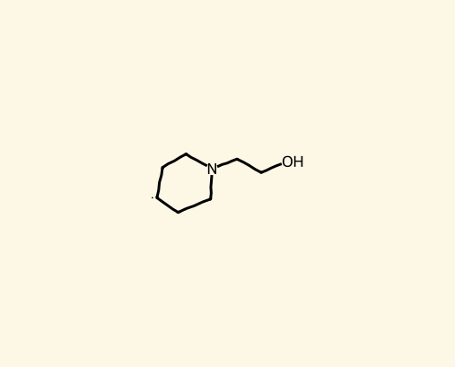 OCCN1CC[CH]CC1